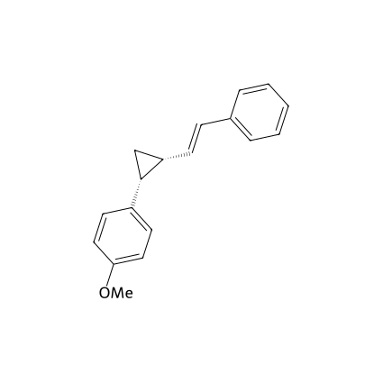 COc1ccc([C@@H]2C[C@@H]2/C=C/c2ccccc2)cc1